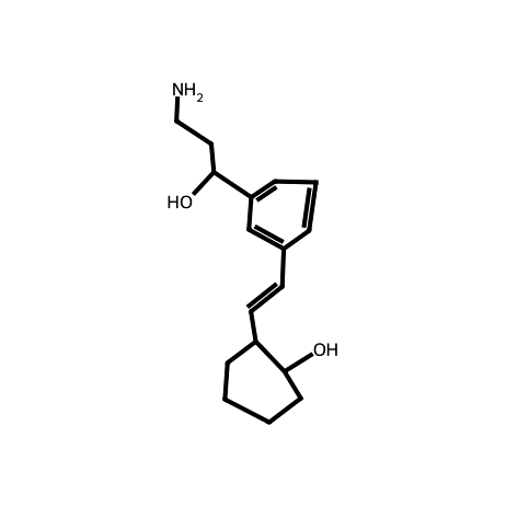 NCCC(O)c1cccc(C=CC2CCCCC2O)c1